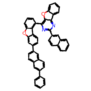 c1ccc(-c2ccc3cc(-c4ccc5c(c4)oc4cccc(-c6nc(-c7ccc8ccccc8c7)nc7c6oc6ccccc67)c45)ccc3c2)cc1